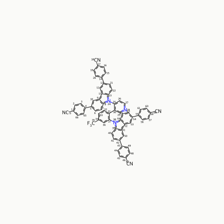 N#Cc1ccc(-c2ccc3c(c2)c2cc(-c4ccc(C#N)cc4)ccc2n3-c2ccncc2-c2ccc(C(F)(F)F)cc2-n2c3ccc(-c4ccc(C#N)cc4)cc3c3cc(-c4ccc(C#N)cc4)ccc32)cc1